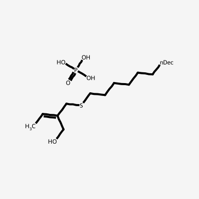 CC=C(CO)CSCCCCCCCCCCCCCCCC.O=P(O)(O)O